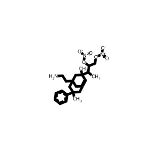 CC(C(CO[N+](=O)[O-])O[N+](=O)[O-])C1(C)C=C2CC(CCN)(CC(C)(c3ccccc3)C2)C1